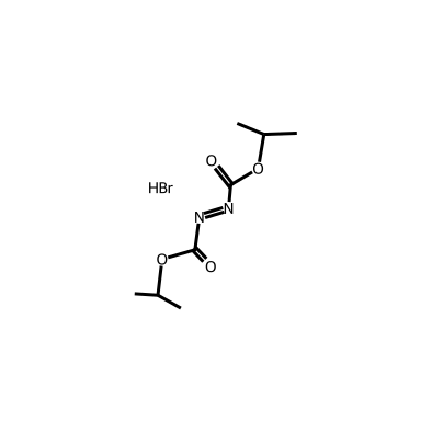 Br.CC(C)OC(=O)N=NC(=O)OC(C)C